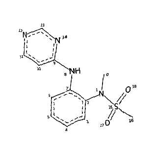 CN(c1ccccc1Nc1ccncn1)S(C)(=O)=O